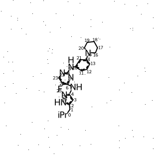 CC(C)Cc1cc(Nc2nc(Nc3cccc(N4CCCCC4)c3)ncc2F)n[nH]1